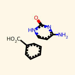 Nc1cc[nH]c(=O)n1.O=C(O)c1ccccc1